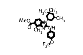 COC(=O)c1ccc2c(nc(Nc3ccc(OC(F)(F)F)cc3)n2[C@H]2C[C@H](C)CC(C)(C)C2)c1C